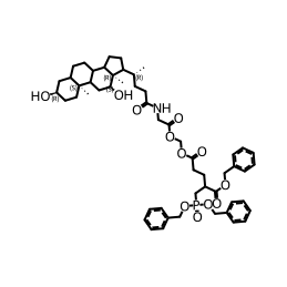 C[C@H](CCC(=O)NCC(=O)OCOC(=O)CCC(CP(=O)(OCc1ccccc1)OCc1ccccc1)C(=O)OCc1ccccc1)C1CCC2C3CCC4C[C@H](O)CC[C@]4(C)C3C[C@H](O)[C@@]21C